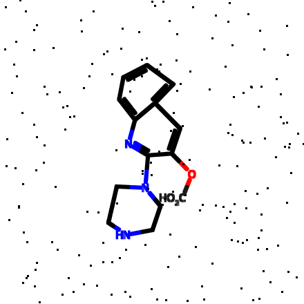 O=C(O)Oc1cc2ccccc2nc1N1CCNCC1